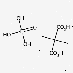 CC(C)(C(=O)O)C(=O)O.O=P(O)(O)O